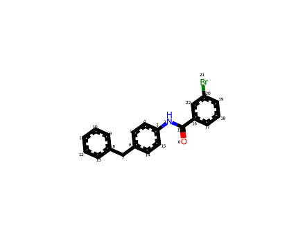 O=C(Nc1ccc(Cc2ccccc2)cc1)c1cccc(Br)c1